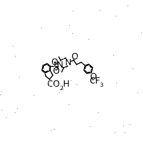 CC1CN(C(=O)CCc2ccc(OC(F)(F)F)cc2)CC(C)N1S(=O)(=O)c1cccc2c1CC(C(=O)O)C2